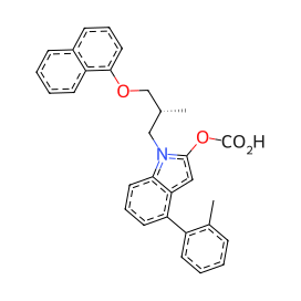 Cc1ccccc1-c1cccc2c1cc(OC(=O)O)n2C[C@@H](C)COc1cccc2ccccc12